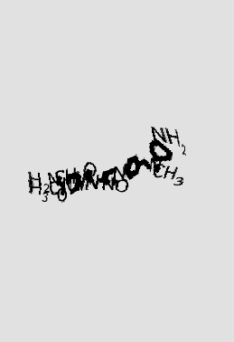 CN(CCc1ccc(-n2ccc(NC(=O)N3CCN(C(=O)C(C)(C)N)CC3)nc2=O)cc1)[C@H]1CC[C@@H](N)CC1